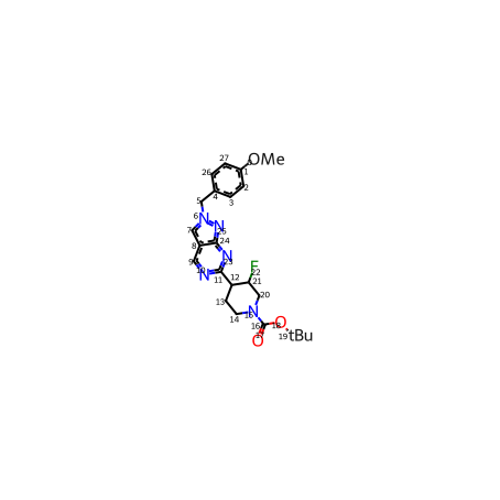 COc1ccc(Cn2cc3cnc(C4CCN(C(=O)OC(C)(C)C)CC4F)nc3n2)cc1